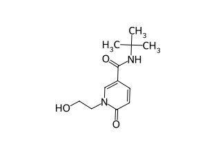 CC(C)(C)NC(=O)c1ccc(=O)n(CCO)c1